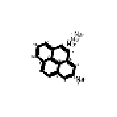 [Na].[Na].[Na].[Na].c1cc2ccc3cccc4ccc(c1)c2c34